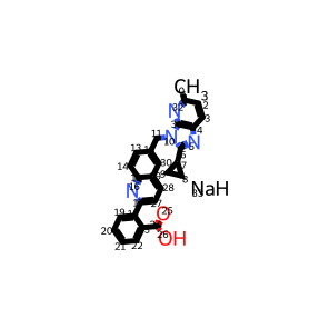 Cc1ccc2nc(C3CC3)n(Cc3ccc4nc(-c5ccccc5C(=O)O)ccc4c3)c2n1.[NaH]